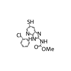 COC(=O)Nc1nc2cc(S)cnc2[nH]1.Clc1ccccc1